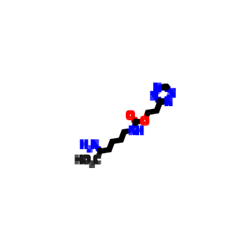 N[C@@H](CCCCNC(=O)OCCc1nncnn1)C(=O)O